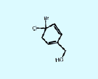 OCC1=CCC(Cl)(Br)C=C1